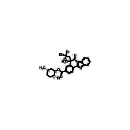 CC[Si](CC)(CC)CC1(C)C(=O)n2c(nc3ccccc32)-c2ccc(C(=O)O[C@@H]3C[C@@H](C)CC[C@H]3C(C)C)cc21